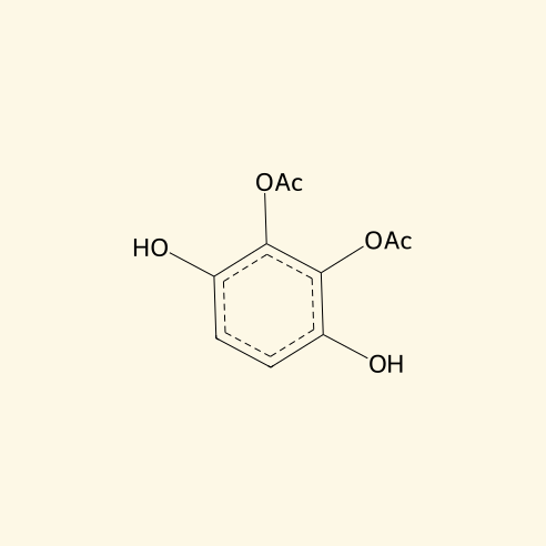 CC(=O)Oc1c(O)ccc(O)c1OC(C)=O